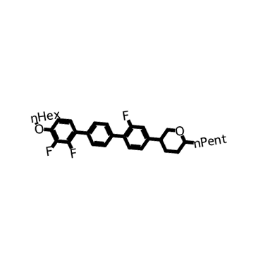 CCCCCCOc1ccc(-c2ccc(-c3ccc(C4CCC(CCCCC)OC4)cc3F)cc2)c(F)c1F